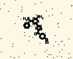 CCOC1CCN(C(=O)c2nc(-c3nc(N)nc(N(C)c4ccccc4)n3)no2)CC1